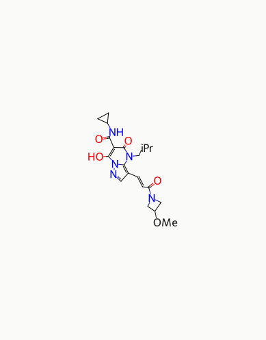 COC1CN(C(=O)/C=C/c2cnn3c(O)c(C(=O)NC4CC4)c(=O)n(CC(C)C)c23)C1